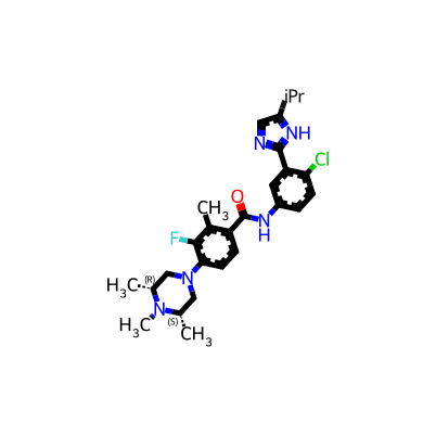 Cc1c(C(=O)Nc2ccc(Cl)c(-c3ncc(C(C)C)[nH]3)c2)ccc(N2C[C@@H](C)N(C)[C@@H](C)C2)c1F